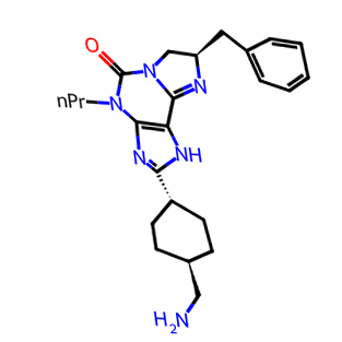 CCCN1C(=O)N2C[C@@H](Cc3ccccc3)N=C2c2[nH]c([C@H]3CC[C@H](CN)CC3)nc21